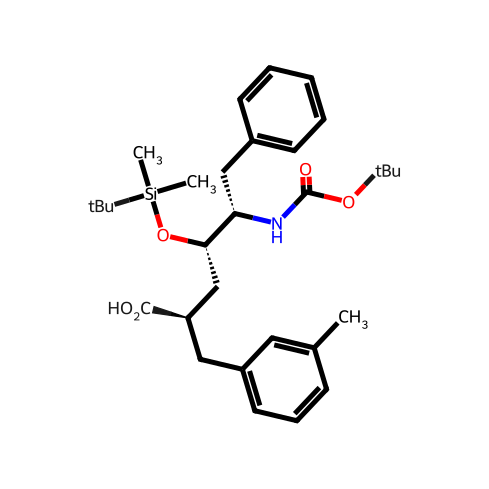 Cc1cccc(C[C@H](C[C@H](O[Si](C)(C)C(C)(C)C)[C@H](Cc2ccccc2)NC(=O)OC(C)(C)C)C(=O)O)c1